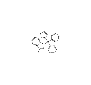 CC1=CC(C(C2=CCC=C2)(c2ccccc2)c2ccccc2)c2ccccc21